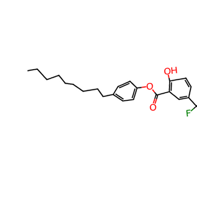 CCCCCCCCCc1ccc(OC(=O)c2cc(C(F)(F)F)ccc2O)cc1